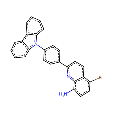 Nc1ccc(Br)c2ccc(-c3ccc(-n4c5ccccc5c5ccccc54)cc3)nc12